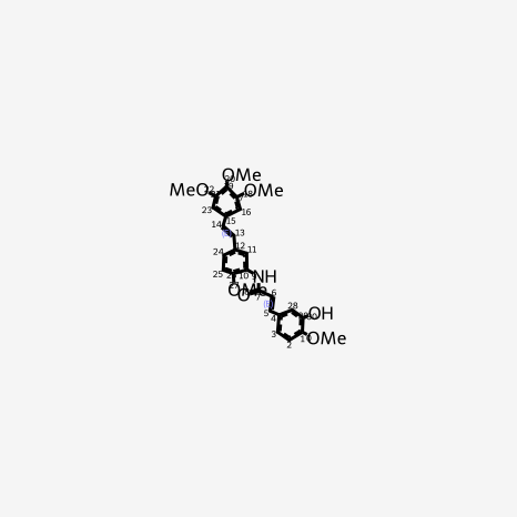 COc1ccc(/C=C/C(=O)Nc2cc(/C=C/c3cc(OC)c(OC)c(OC)c3)ccc2OC)cc1O